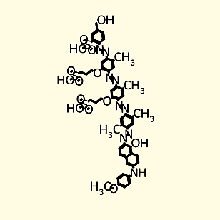 COc1ccc(Nc2ccc3c(O)c(N=Nc4cc(C)c(N=Nc5cc(C)c(N=Nc6cc(C)c(N=Nc7ccc(CO)cc7S(=O)(=O)O)cc6OCCCS(=O)(=O)O)cc5OCCCS(=O)(=O)O)cc4C)ccc3c2)cc1